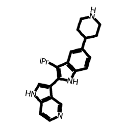 CC(C)c1c(-c2c[nH]c3ccncc23)[nH]c2ccc(C3CCNCC3)cc12